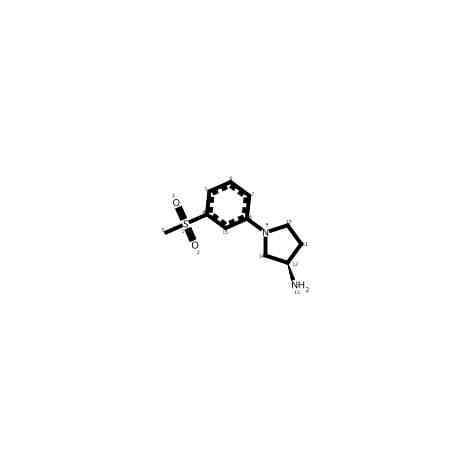 CS(=O)(=O)c1cccc(N2CC[C@@H](N)C2)c1